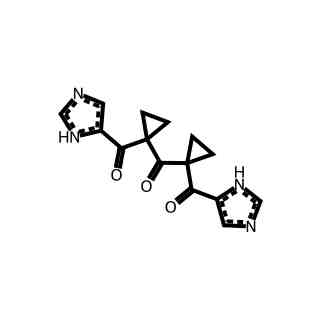 O=C(c1cnc[nH]1)C1(C(=O)C2(C(=O)c3cnc[nH]3)CC2)CC1